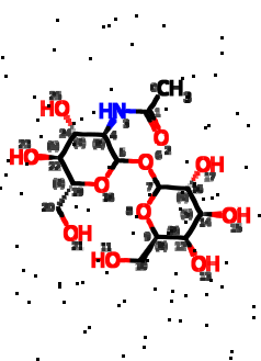 CC(=O)N[C@H]1C(OC2O[C@H](CO)[C@H](O)[C@H](O)[C@H]2O)O[C@H](CO)[C@@H](O)[C@@H]1O